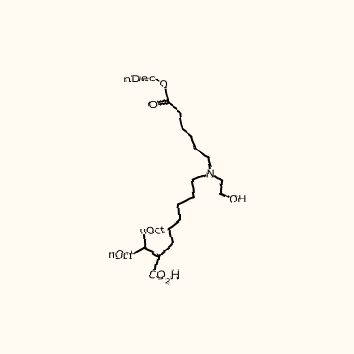 CCCCCCCCCCOC(=O)CCCCCN(CCO)CCCCCCC(C(=O)O)C(CCCCCCCC)CCCCCCCC